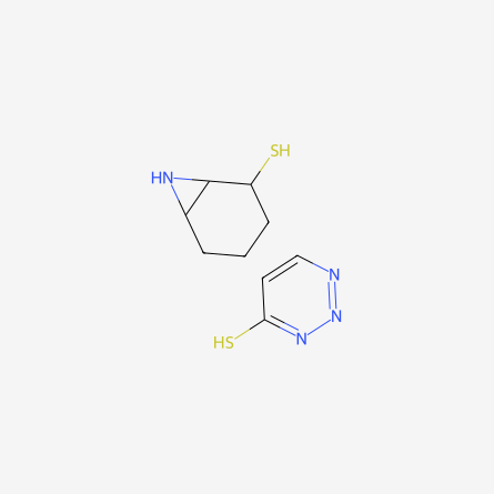 SC1CCCC2NC12.Sc1ccnnn1